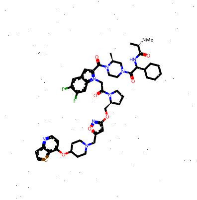 CN[C@@H](C)C(=O)NC(C(=O)N1CCN(C(=O)c2cc3cc(F)c(F)cc3n2CC(=O)N2CCC[C@H]2COc2cc(CN3CCC(Oc4ccnc5ccsc45)CC3)on2)[C@@H](C)C1)C1CCCCC1